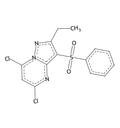 CCc1nn2c(Cl)cc(Cl)nc2c1S(=O)(=O)c1ccccc1